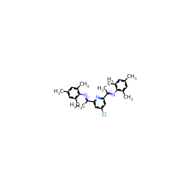 C/C(=N\c1c(C)cc(C)cc1C)c1cc(Cl)cc(/C(C)=N/c2c(C)cc(C)cc2C)n1